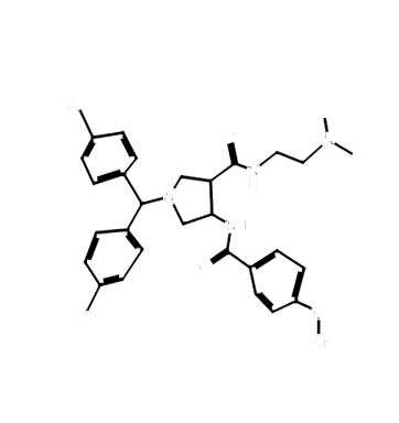 CN(C)CCNC(=O)C1CN(C(c2ccc(Cl)cc2)c2ccc(Cl)cc2)CC1NC(=O)c1ccc(OC(F)(F)F)cc1